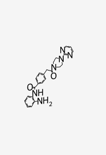 Nc1ccccc1NC(=O)c1ccc(CC(=O)N2CCN(c3ncccn3)CC2)cc1